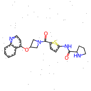 O=C(Nc1ccc(C(=O)N2CC(Oc3ccnc4ccccc34)C2)s1)C1CCCN1